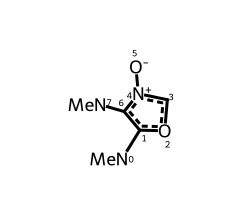 CNc1oc[n+]([O-])c1NC